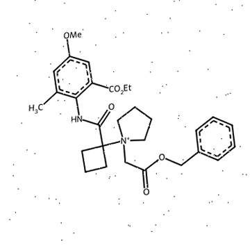 CCOC(=O)c1cc(OC)cc(C)c1NC(=O)C1([N+]2(CC(=O)OCc3ccccc3)CCCC2)CCC1